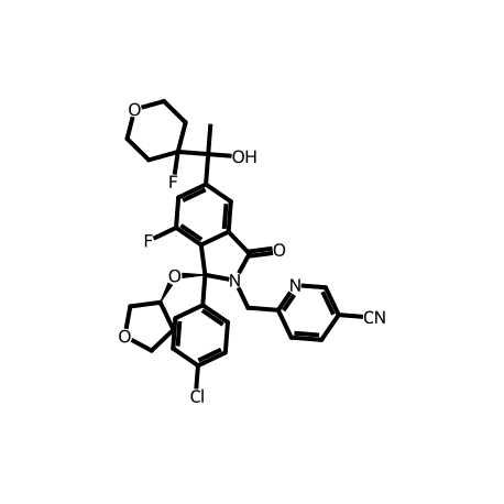 CC(O)(c1cc(F)c2c(c1)C(=O)N(Cc1ccc(C#N)cn1)[C@]2(O[C@H]1CCOC1)c1ccc(Cl)cc1)C1(F)CCOCC1